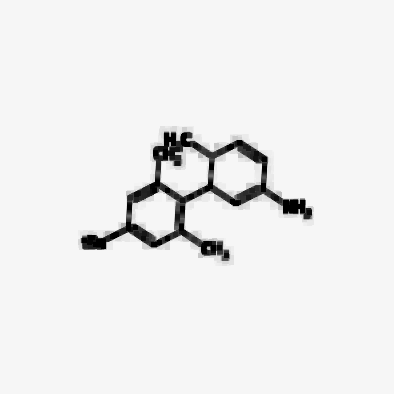 Cc1cc(C(C)(C)C)cc(C)c1C1C=C(N)C=CC1C